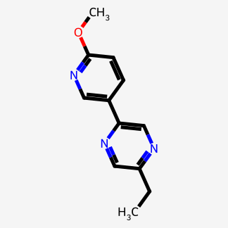 CCc1cnc(-c2ccc(OC)nc2)cn1